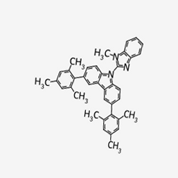 Cc1cc(C)c(-c2ccc3c(c2)c2cc(-c4c(C)cc(C)cc4C)ccc2n3-c2nc3ccccc3n2C)c(C)c1